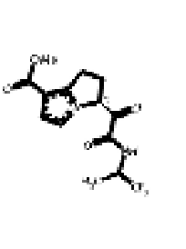 COC(=O)c1ccn2c1CC[C@H]2C(=O)C(=O)NC(C)C(F)(F)F